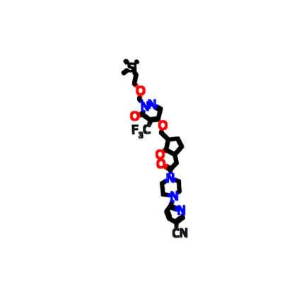 C[Si](C)(C)CCOCn1ncc(OCC2CCC(CC(=O)N3CCN(c4ccc(C#N)cn4)CC3)C2=O)c(C(F)(F)F)c1=O